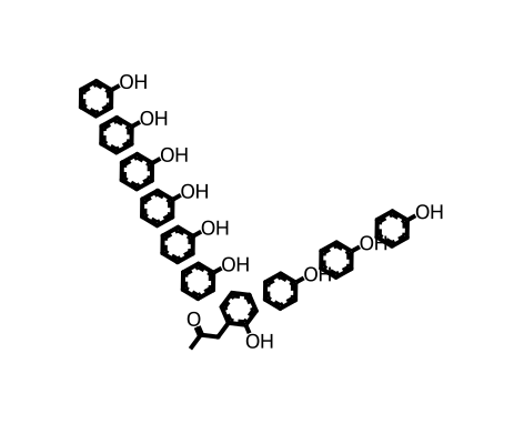 CC(=O)Cc1ccccc1O.Oc1ccccc1.Oc1ccccc1.Oc1ccccc1.Oc1ccccc1.Oc1ccccc1.Oc1ccccc1.Oc1ccccc1.Oc1ccccc1.Oc1ccccc1